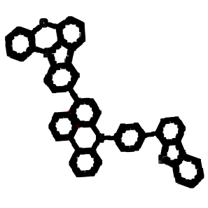 c1ccc(-c2ccccc2N(c2ccc(-c3ccc4c(c3)c3cccc5c3n4-c3ccccc3O5)cc2)c2ccc(-c3cccc4c3sc3ccccc34)cc2)cc1